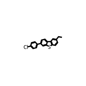 CCc1ccc2sc3cc(-c4ccc(Cl)cc4)ccc3c2c1